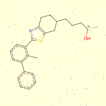 Cc1c(-c2ccccc2)cccc1-c1nc2c(s1)CC(CCC[C@H](C)O)CC2